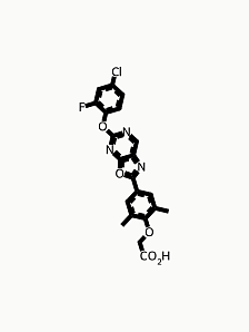 Cc1cc(-c2nc3cnc(Oc4ccc(Cl)cc4F)nc3o2)cc(C)c1OCC(=O)O